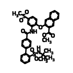 COC(=O)c1cc2ccccc2cc1Oc1ccc(S(C)(=O)=O)cc1NC(=O)c1ccc(-c2ccccc2S(=O)(=O)NC(C)(C)C)cc1